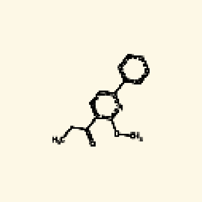 CCC(=O)c1ccc(-c2ccccc2)nc1OC